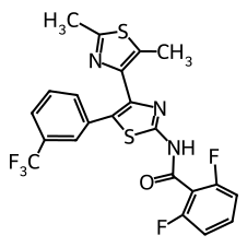 Cc1nc(-c2nc(NC(=O)c3c(F)cccc3F)sc2-c2cccc(C(F)(F)F)c2)c(C)s1